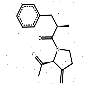 C=C1CCN(C(=O)[C@H](C)Cc2ccccc2)[C@@H]1C(C)=O